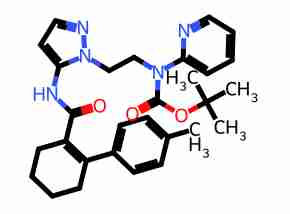 Cc1ccc(C2=C(C(=O)Nc3ccnn3CCN(C(=O)OC(C)(C)C)c3ccccn3)CCCC2)cc1